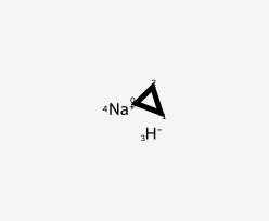 C1CC1.[H-].[Na+]